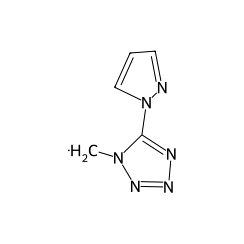 [CH2]n1nnnc1-n1cccn1